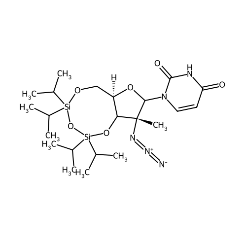 CC(C)[Si]1(C(C)C)OC[C@H]2OC(n3ccc(=O)[nH]c3=O)[C@](C)(N=[N+]=[N-])C2O[Si](C(C)C)(C(C)C)O1